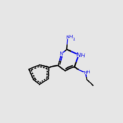 CCNC1=CC(c2ccccc2)=NC(N)N1